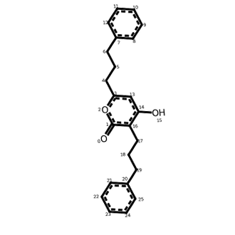 O=c1oc(CCCc2ccccc2)cc(O)c1CCCc1ccccc1